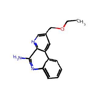 CCOCc1cnc2c(N)nc3ccccc3c2c1